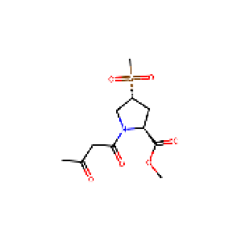 COC(=O)[C@@H]1C[C@@H](S(C)(=O)=O)CN1C(=O)CC(C)=O